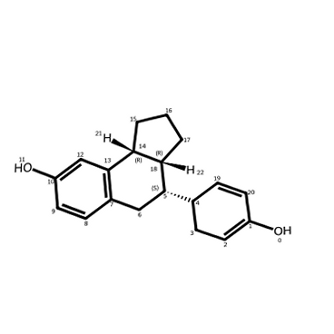 OC1=CCC([C@@H]2Cc3ccc(O)cc3[C@@H]3CCC[C@@H]32)C=C1